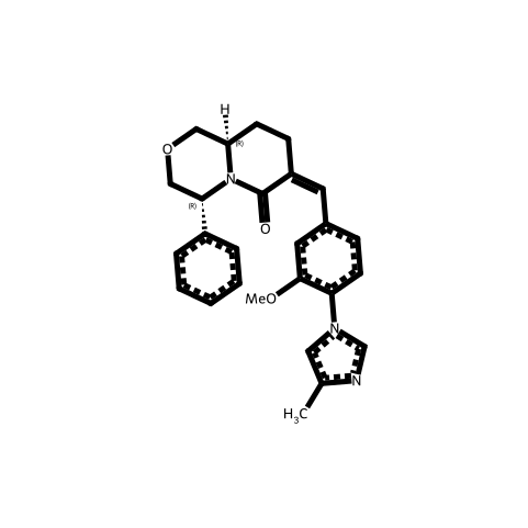 COc1cc(C=C2CC[C@@H]3COC[C@@H](c4ccccc4)N3C2=O)ccc1-n1cnc(C)c1